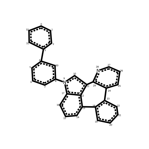 c1ccc(-c2cccc(-n3cc4c5c(cccc53)-c3ccccc3-c3cccnc3-4)c2)cc1